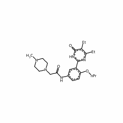 CCCOc1ccc(NC(=O)CN2CCN(C)CC2)cc1-c1nc(CC)c(CC)c(=O)[nH]1